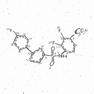 O=C(O)c1ccc(NS(=O)(=O)c2csc(-c3ccc(F)cc3)n2)c(F)c1F